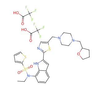 CCN(c1cccc2cc(-c3ncc(CN4CCN(CC5CCCO5)CC4)s3)[nH]c12)S(=O)(=O)c1cccs1.O=C(O)C(F)(F)F.O=C(O)C(F)(F)F